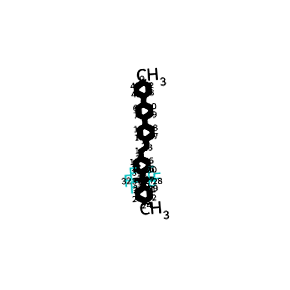 Cc1ccc(-c2ccc(-c3ccc(CCc4ccc(C(c5ccc(C)cc5)(C(F)(F)F)C(F)(F)F)cc4)cc3)cc2)cc1